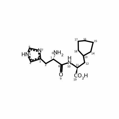 N[C@@H](Cc1c[nH]cn1)C(=O)N[C@@H](CC1CCCCC1)C(=O)O